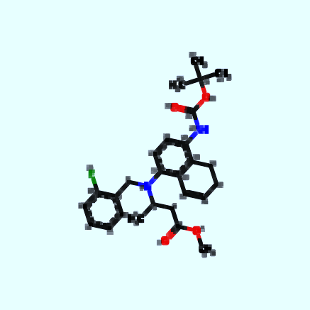 COC(=O)CC(C)N(Cc1ccccc1F)c1ccc(NC(=O)OC(C)(C)C)c2c1C=CCC2